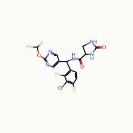 O=C1NCC(C(=O)NC(c2cnc(OC(F)F)nc2)c2ccc(F)c(Cl)c2F)N1